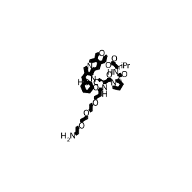 CC(C)[C@H](NC(=O)[C@@H]1CCCN1C(=O)[C@H](CC(=O)O)NC(=O)CCOCCOCCOCCN)C(=O)OC1=COCc2cn3cc4cc5ccccc5nc4c3cc21